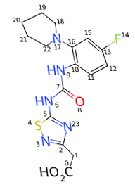 O=C(O)Cc1nsc(NC(=O)Nc2ccc(F)cc2N2CCCCC2)n1